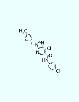 Cc1ccc(Cn2cnc3c(Cl)c(C(=O)Nc4ccc(Cl)cc4)cnc32)cc1